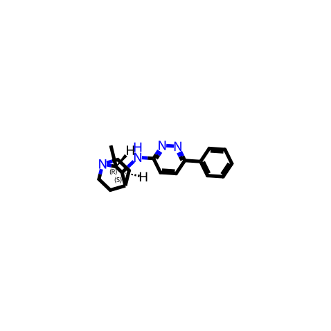 C[C@@H]1[C@@H](Nc2ccc(-c3ccccc3)nn2)C2CCN1CC2